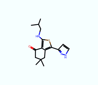 CC(C)CNc1sc(-c2cc[nH]n2)c2c1C(=O)CC(C)(C)C2